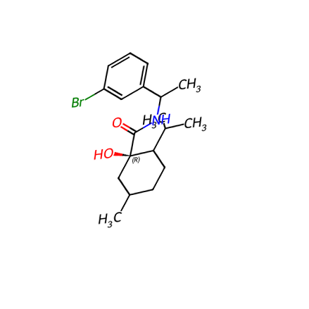 CC1CCC(C(C)C)[C@@](O)(C(=O)NC(C)c2cccc(Br)c2)C1